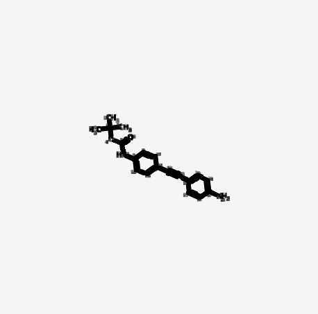 CC(C)(C)OC(=O)Nc1ccc(C#Cc2ccc(N)cc2)cc1